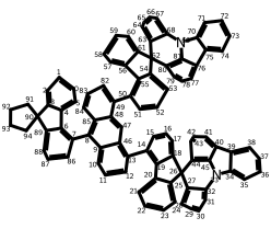 c1ccc2c(c1)-c1c(-c3c4cccc(-c5cccc6c5-c5ccccc5C65c6ccccc6-n6c7ccccc7c7cccc5c76)c4cc4c(-c5cccc6c5-c5ccccc5C65c6ccccc6-n6c7ccccc7c7cccc5c76)cccc34)cccc1C21CCCC1